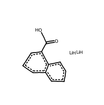 O=C(O)c1cccc2ccccc12.[LiH].[LiH]